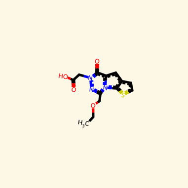 CCOCc1nn(CC(=O)O)c(=O)c2cc3ccsc3n12